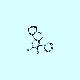 O=c1c(Br)cc2c(n1-c1cccnc1)COc1cccnc1-2